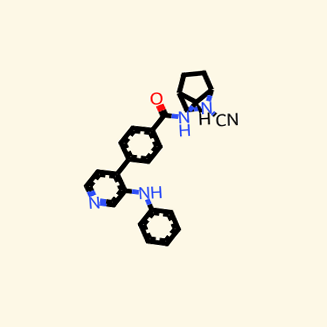 N#CN1CC2CCC1[C@@H]2NC(=O)c1ccc(-c2ccncc2Nc2ccccc2)cc1